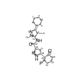 Cc1c(-c2ccccc2)nn(C)c1NC(=O)c1cc(-c2c(F)cccc2Cl)[nH]n1